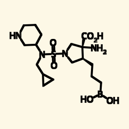 N[C@@]1(C(=O)O)CN(S(=O)(=O)N(CC2CC2)C2CCCNC2)C[C@@H]1CCCB(O)O